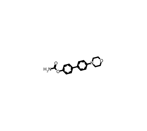 NC(=O)Oc1ccc(-c2ccc(N3CCOCC3)cc2)cc1